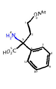 COCCC(N)(C(=O)O)c1ccccc1